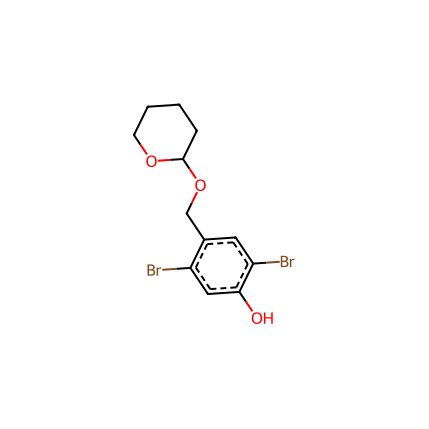 Oc1cc(Br)c(COC2CCCCO2)cc1Br